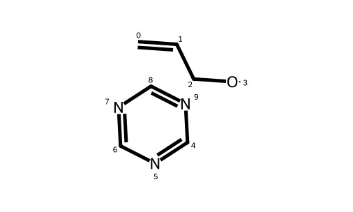 C=CC[O].c1ncncn1